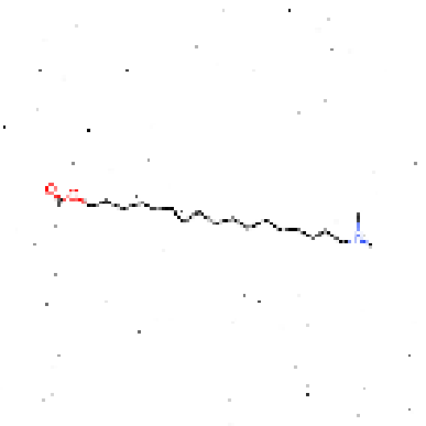 CN(C)CCCCCCCCCCCCCCCCCO[C]=O